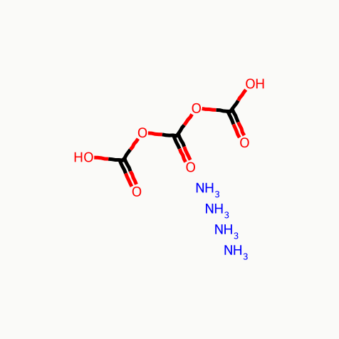 N.N.N.N.O=C(O)OC(=O)OC(=O)O